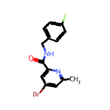 Cc1cc(Br)cc(C(=O)NCc2ccc(F)cc2)n1